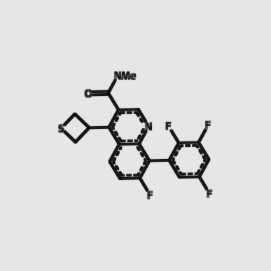 CNC(=O)c1cnc2c(-c3cc(F)cc(F)c3F)c(F)ccc2c1C1CSC1